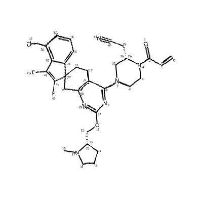 C=CC(=O)N1CCN(c2nc(OC[C@@H]3CCCN3C)nc3c2CCC2(C3)C(F)=C(F)c3c(Cl)cccc32)C[C@@H]1CC#N